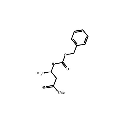 CSC(=N)C[C@H](NC(=O)OCc1ccccc1)C(=O)O